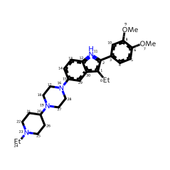 CCc1c(-c2ccc(OC)c(OC)c2)[nH]c2ccc(N3CCN(C4CCN(CC)CC4)CC3)cc12